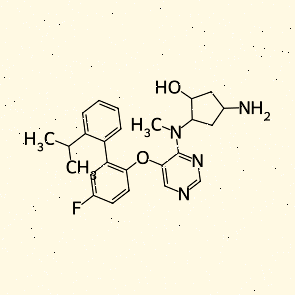 CC(C)c1ccccc1-c1cc(F)ccc1Oc1cncnc1N(C)C1CC(N)CC1O